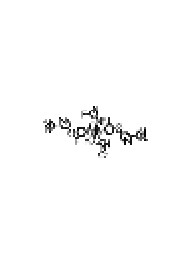 Cc1c(N(C(=O)Nc2ccc(Oc3ccnc(-c4cnn(C)c4)c3)c(F)c2F)N(C(=O)Nc2cncc(F)c2)c2ccc(Oc3ccnc(-c4cnn(C)c4)c3)cc2F)cnn1C1CCCC1